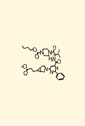 CCCCOC(=O)N1CCN(C(=O)[C@@H](NC(=O)c2cc(N3CC4C(CCC(=O)OC)C4C3)nc(-c3ccccc3)n2)C(C)C)CC1